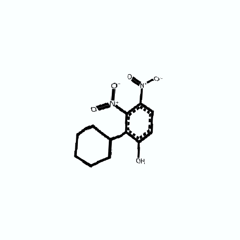 O=[N+]([O-])c1ccc(O)c(C2CCCCC2)c1[N+](=O)[O-]